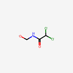 [O]CNC(=O)C(Cl)Cl